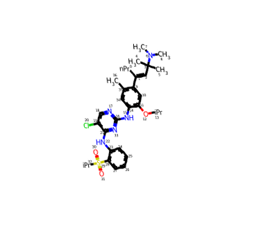 CCC/C(=C\C(C)(C)N(C)C)c1cc(OC(C)C)c(Nc2ncc(Cl)c(Nc3ccccc3S(=O)(=O)C(C)C)n2)cc1C